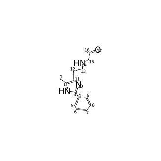 Cc1[nH]c(-c2ccccc2)nc1CCNC[C]=O